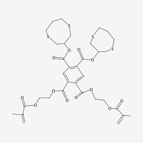 C=C(C)C(=O)OCCOC(=O)c1cc(C(=O)OC2CSCCCSC2)c(C(=O)OC2CSCCCSC2)cc1C(=O)OCCOC(=O)C(=C)C